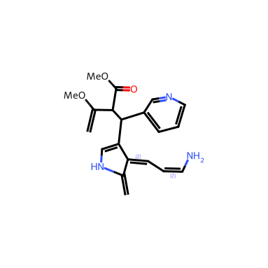 C=C(OC)C(C(=O)OC)C(c1cccnc1)c1c[nH]c(=C)/c1=C\C=C/N